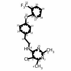 Cc1nc(C)c(Cl)c(NCCc2ccc(Oc3ncccc3C(F)(F)F)cc2)n1